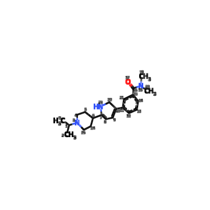 CC(C)N1CCC(C2=CC=C(c3cccc(C(=O)N(C)C)c3)CN2)CC1